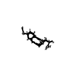 CSc1ccc2c(ccn2CC(C)O)c1